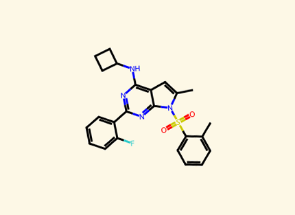 Cc1ccccc1S(=O)(=O)n1c(C)cc2c(NC3CCC3)nc(-c3ccccc3F)nc21